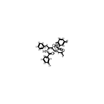 CC(=O)CN(CC(O)C(Cc1ccccc1)NC(=O)c1cccc(C)c1)S(=O)(=O)c1cc(F)ccc1C